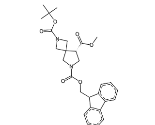 COC(=O)[C@@H]1CN(C(=O)OCC2c3ccccc3-c3ccccc32)CC12CN(C(=O)OC(C)(C)C)C2